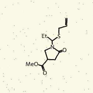 C=CCSC(CC)N1CC(C(=O)OC)CC1=O